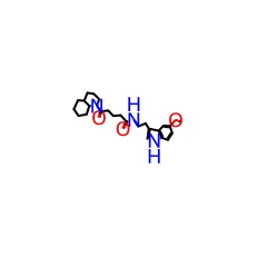 COc1ccc2[nH]cc(CCNC(=O)CCCC(=O)N3CCCC4CCCCC43)c2c1